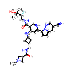 CN1CC(C(=O)NC[C@H]2C[C@H](Nc3cc(-c4ccc5cc(C#N)cnn45)ncc3C(=O)NC[C@@H](F)C(C)(C)O)C2)C1